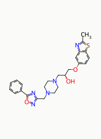 Cc1nc2cc(OC[C@@H](O)CN3CCN(Cc4noc(-c5ccccc5)n4)CC3)ccc2s1